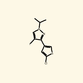 CC(C)n1cc(I)c(-c2csc(Cl)c2)n1